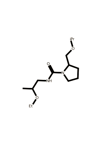 CCOC(C)CNC(=O)N1CCCC1COC(C)C